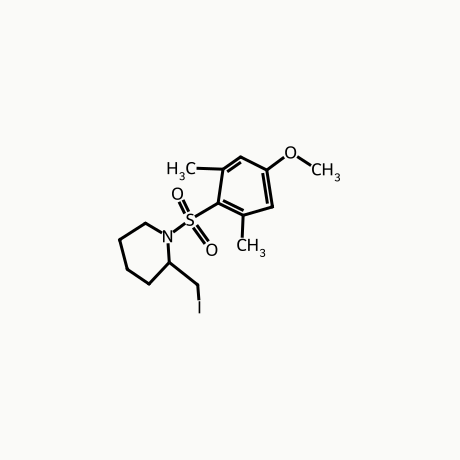 COc1cc(C)c(S(=O)(=O)N2CCCCC2CI)c(C)c1